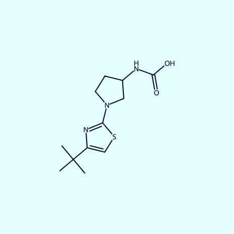 CC(C)(C)c1csc(N2CCC(NC(=O)O)C2)n1